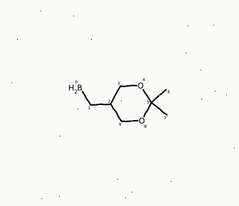 BCC1COC(C)(C)OC1